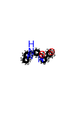 c1cnc(Oc2ccc(Nc3ccc4ccccc4n3)cc2)c(C2CCOCC2)c1